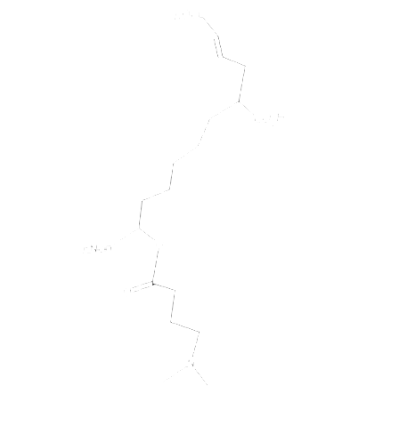 CCCCCCCCC=CCC(CCCCCC(CCCCCCCCC)OC(=O)CCCN(C)C)C(=O)O